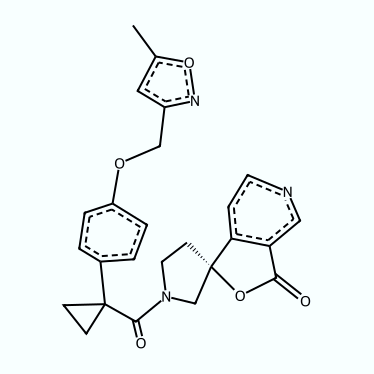 Cc1cc(COc2ccc(C3(C(=O)N4CC[C@@]5(C4)OC(=O)c4cnccc45)CC3)cc2)no1